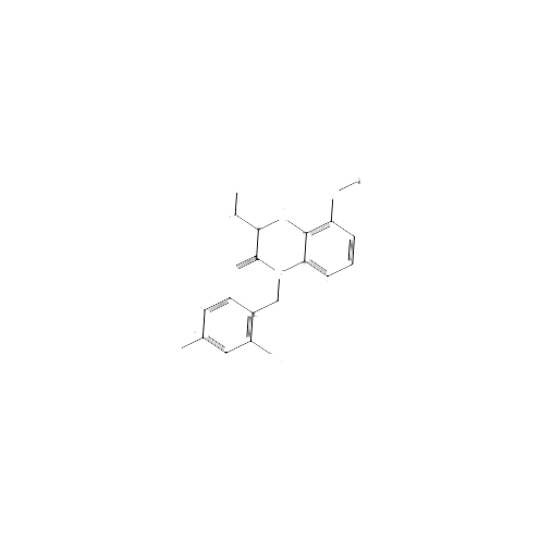 CC(C)Oc1cccc2c1SC(CC(=O)O)C(=O)N2Cc1ccc(Br)cc1F